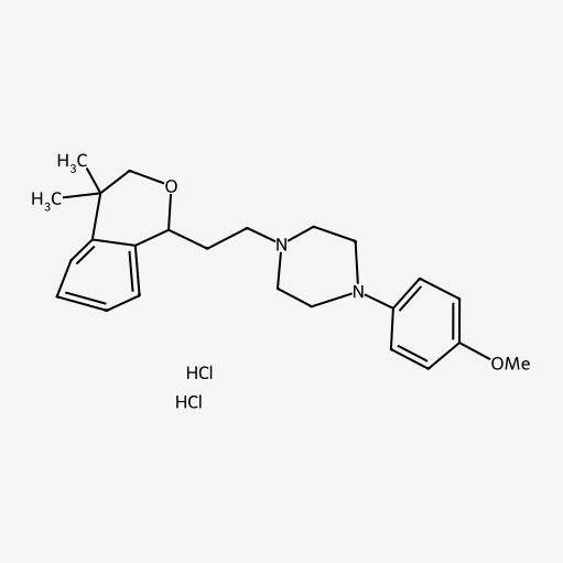 COc1ccc(N2CCN(CCC3OCC(C)(C)c4ccccc43)CC2)cc1.Cl.Cl